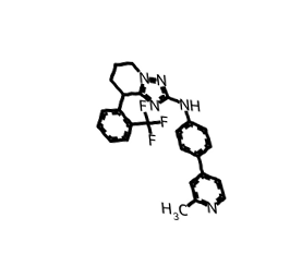 Cc1cc(-c2ccc(Nc3nc4n(n3)CCCC4c3ccccc3C(F)(F)F)cc2)ccn1